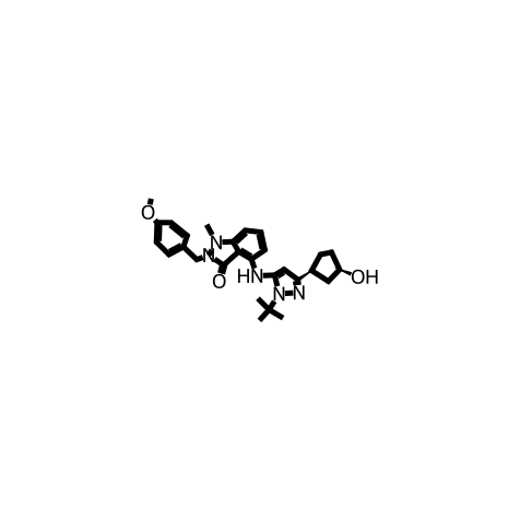 COc1ccc(Cn2c(=O)c3c(Nc4cc([C@H]5CC[C@@H](O)C5)nn4C(C)(C)C)cccc3n2C)cc1